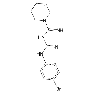 N=C(NC(=N)N1CC=CCC1)Nc1ccc(Br)cc1